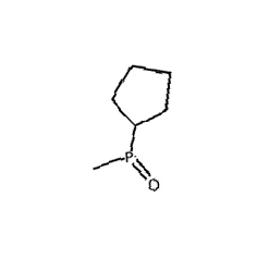 C[P](=O)C1CCCC1